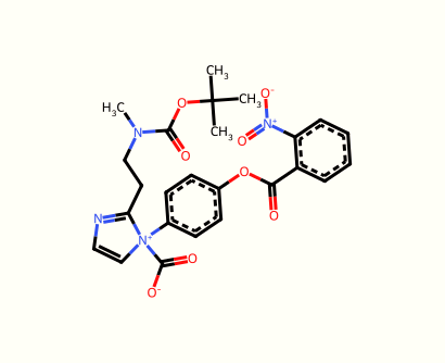 CN(CCC1=NC=C[N+]1(C(=O)[O-])c1ccc(OC(=O)c2ccccc2[N+](=O)[O-])cc1)C(=O)OC(C)(C)C